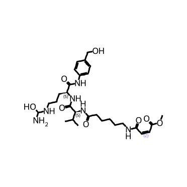 COC(=O)/C=C\C(=O)NCCCCCC(=O)N[C@H](C(=O)N[C@@H](CCCNC(N)O)C(=O)Nc1ccc(CO)cc1)C(C)C